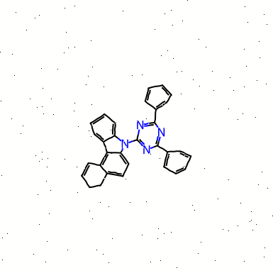 C1=Cc2c(ccc3c2c2ccccc2n3-c2nc(-c3ccccc3)nc(-c3ccccc3)n2)CC1